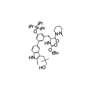 CC(C)[Si](Oc1cc(C[C@H](NC(=O)OC(C)(C)C)C(=O)N2CCCCN2C)cc(-c2ccc3[nH]c(I)c(CC(C)(C)CO)c3c2)c1)(C(C)C)C(C)C